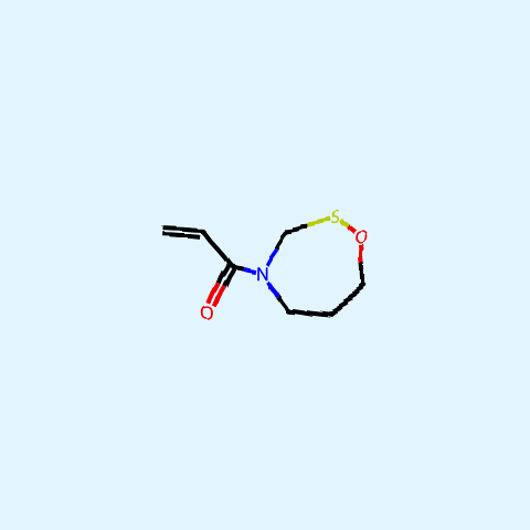 C=CC(=O)N1CCCOSC1